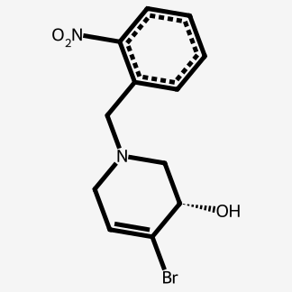 O=[N+]([O-])c1ccccc1CN1CC=C(Br)[C@@H](O)C1